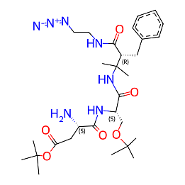 CC(C)(C)OC[C@H](NC(=O)[C@@H](N)CC(=O)OC(C)(C)C)C(=O)NC(C)(C)[C@@H](Cc1ccccc1)C(=O)NCCN=[N+]=[N-]